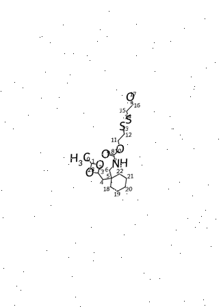 CC1OC(CC2(CNC(=O)OCCSSCC=O)CCCCC2)O1